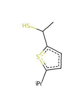 CC(C)c1ccc(C(C)S)s1